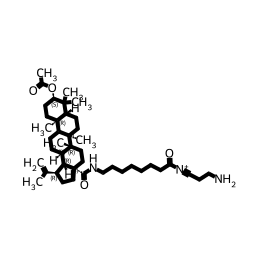 C=C(C)[C@@H]1CC[C@]2(C(=O)NCCCCCCCC(=O)[N+]#CCCN)CC[C@]3(C)[C@H](CCC4[C@@]5(C)CC[C@H](OC(C)=O)C(C)(C)[C@@H]5CC[C@]43C)[C@@H]12